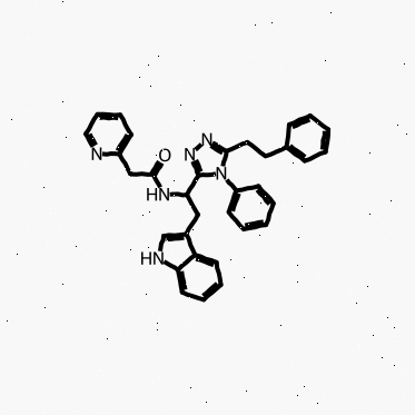 O=C(Cc1ccccn1)NC(Cc1c[nH]c2ccccc12)c1nnc(CCc2ccccc2)n1-c1ccccc1